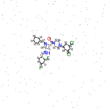 O=C([C@@H]1C[C@H](NCc2ccc(F)cc2F)CN1Cc1ccccc1)N1CCN(c2cc(Cl)cc(Cl)c2)CC1